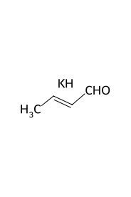 CC=CC=O.[KH]